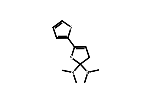 CB(C)C1(B(C)C)CC=C(c2cccs2)S1